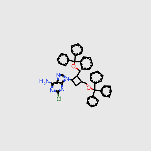 Nc1nc(Cl)nc2c1ncn2C1CC(COC(c2ccccc2)(c2ccccc2)c2ccccc2)C1COC(c1ccccc1)(c1ccccc1)c1ccccc1